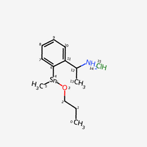 CCC[O][Sn]([CH3])[c]1ccccc1C(C)N.Cl